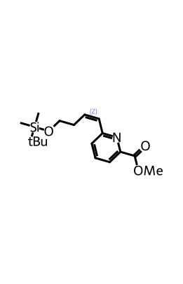 COC(=O)c1cccc(/C=C\CCO[Si](C)(C)C(C)(C)C)n1